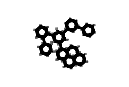 c1ccc(-c2cccc(-c3nc(-c4ccccc4-c4cccnc4)nc(-c4ccc5ccc6cccc7ccc4c5c67)n3)c2)cc1